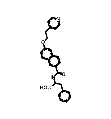 O=C(NC(Cc1ccccc1)C(=O)O)c1ccc2cc(OCCc3ccncc3)ccc2c1